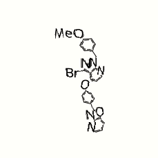 COc1ccc(Cn2nc(Br)c3c(Oc4ccc(-c5nc6ncccc6o5)cc4)ccnc32)cc1